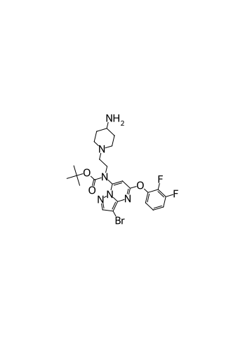 CC(C)(C)OC(=O)N(CCN1CCC(N)CC1)c1cc(Oc2cccc(F)c2F)nc2c(Br)cnn12